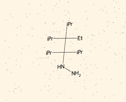 CCC(C(C)C)(C(C)C)C(NN)(C(C)C)C(C)C